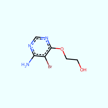 Nc1ncnc(OCCO)c1Br